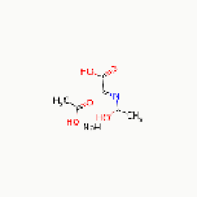 CC(=O)O.CC(O)N=CC(=O)O.[NaH]